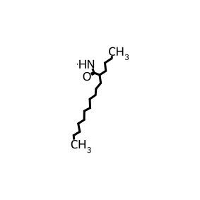 CCCCCCCCCCCC(CCCC)C([NH])=O